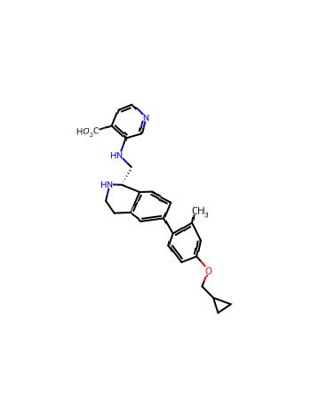 Cc1cc(OCC2CC2)ccc1-c1ccc2c(c1)CCN[C@@H]2CNc1cnccc1C(=O)O